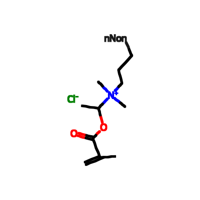 C=C(C)C(=O)OC(C)[N+](C)(C)CCCCCCCCCCCC.[Cl-]